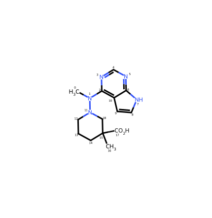 CN(c1ncnc2[nH]ccc12)N1CCCC(C)(C(=O)O)C1